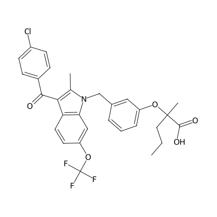 CCCC(C)(Oc1cccc(Cn2c(C)c(C(=O)c3ccc(Cl)cc3)c3ccc(OC(F)(F)F)cc32)c1)C(=O)O